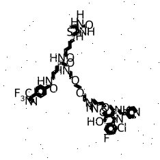 O=C(CCCC[C@@H]1SC[C@@H]2NC(=O)N[C@@H]21)N[C@@H](CCCCNC(=O)c1ccc(C2(C(F)(F)F)N=N2)cc1)C(=O)NCCOCCOCCn1cc(COCC2=C(C(=O)CO)C(c3ccc(F)cc3Cl)N=C(c3ccncc3)N2)nn1